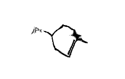 CC1=CC[C](C(C)C)CC1